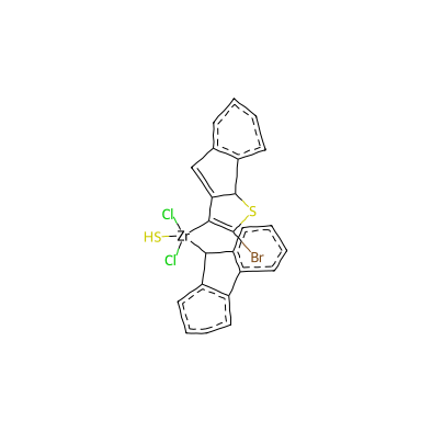 [SH][Zr]([Cl])([Cl])([C]1=C(Br)SC2C1=Cc1ccccc12)[CH]1c2ccccc2-c2ccccc21